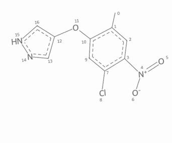 Cc1cc([N+](=O)[O-])c(Cl)cc1Oc1cn[nH]c1